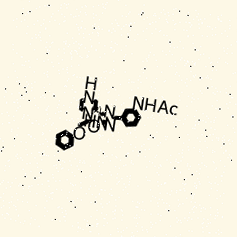 CC(=O)Nc1cccc(-c2n[nH]c([C@H]3CNCCN3C(=O)COc3ccccc3)n2)c1